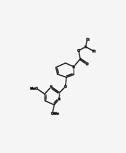 CCN(CC)OC(=O)N1C=C(Oc2nc(OC)cc(OC)n2)C=CC1